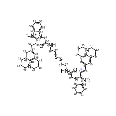 C[n+]1c(/C=C/c2cc3c4c(c2)CCCN4CCC3)n(CC(=O)NCCSSCCNC(=O)Cn2c(CCc3cc4c5c(c3)CCCN5CCC4)[n+](C)c3ccccc32)c2ccccc21